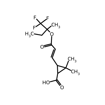 CCC(C)(OC(=O)C=CC1C(C(=O)O)C1(C)C)C(F)(F)F